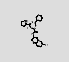 CCc1ccc2ncc(NC(=O)[C@@H](CCc3ccccc3)NC(=O)C3CCCN3)cc2c1